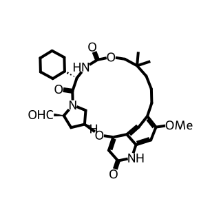 COc1cc2[nH]c(=O)cc3c2cc1CCCC(C)(C)COC(=O)N[C@@H](C1CCCCC1)C(=O)N1C[C@@H](C[C@H]1C=O)O3